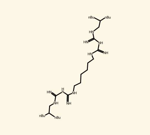 CCCCC(CCCC)CNC(=N)NC(=N)NCCCCCCNC(=N)NC(=N)NCC(CCCC)CCCC